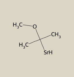 CO[C](C)(C)[SrH]